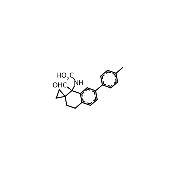 Cc1ccc(-c2ccc3c(c2)[C@@](C=O)(NC(=O)O)C2(CC3)CC2)cc1